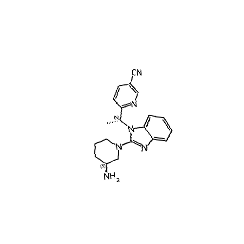 C[C@H](c1ccc(C#N)cn1)n1c(N2CCC[C@H](N)C2)nc2ccccc21